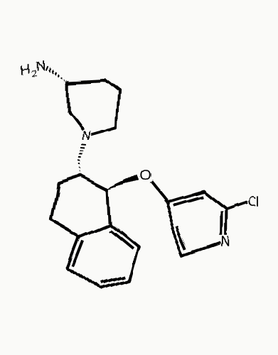 N[C@@H]1CCCN([C@H]2CCc3ccccc3[C@@H]2Oc2ccnc(Cl)c2)C1